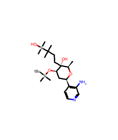 C[C@H]1O[C@@H](c2ccncc2N)C[C@@H](O[Si](C)(C)C(C)(C)C)[C@@]1(O)CCC(C)(C)[Si](C)(C)O